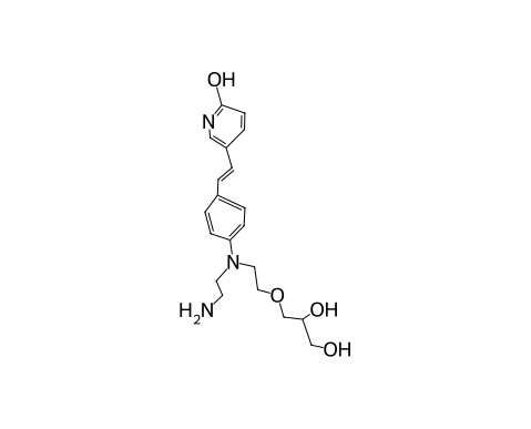 NCCN(CCOCC(O)CO)c1ccc(/C=C/c2ccc(O)nc2)cc1